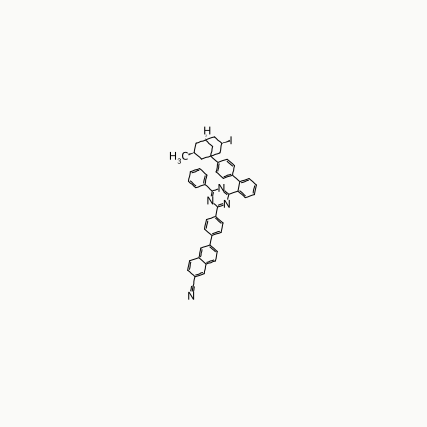 C[C@H]1C[C@H]2C[C@@H](I)CC(c3ccc(-c4ccccc4-c4nc(-c5ccccc5)nc(-c5ccc(-c6ccc7cc(C#N)ccc7c6)cc5)n4)cc3)(C1)C2